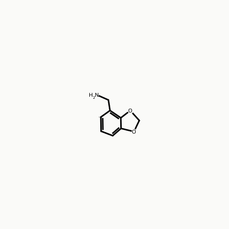 NCc1[c]ccc2c1OCO2